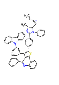 C=C/C=C\c1c(C)nc(-c2ccc(-c3sc4c(c(-c5ccccc5)nc5ccccc54)c3-c3cccc(-n4c5ccccc5c5ccccc54)c3)cc2)n1-c1ccccc1